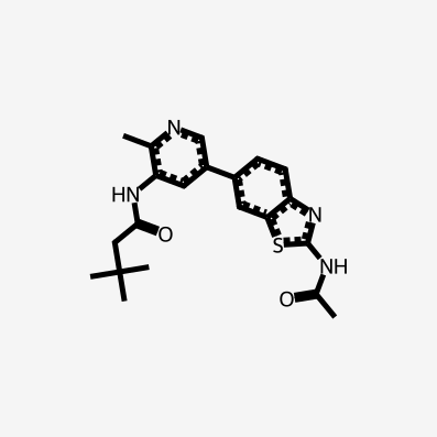 CC(=O)Nc1nc2ccc(-c3cnc(C)c(NC(=O)CC(C)(C)C)c3)cc2s1